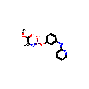 CC(C)OC(=O)[C@H](C)N=[P+]([O-])Oc1cccc(Nc2ccccn2)c1